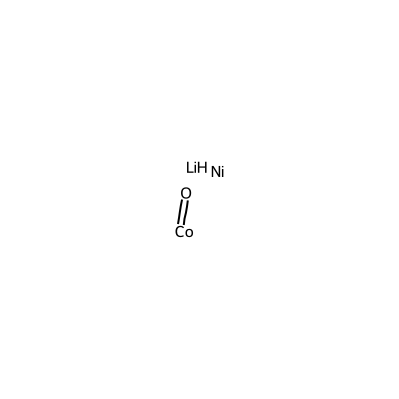 [LiH].[Ni].[O]=[Co]